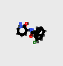 O=C1NCCCC[C@@H]1NC(=O)C12CC3CC(CC(Cl)(C3)C1)C2